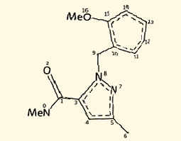 CNC(=O)c1cc(C)nn1Cc1ccccc1OC